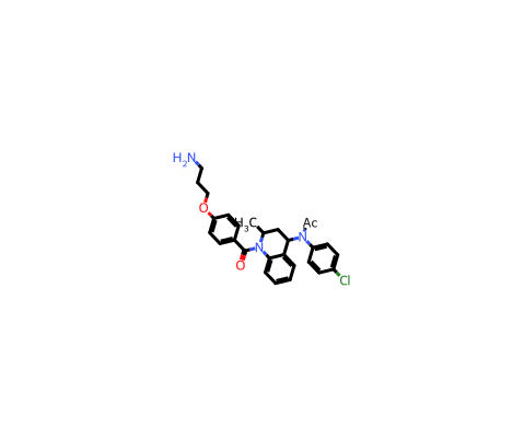 CC(=O)N(c1ccc(Cl)cc1)C1CC(C)N(C(=O)c2ccc(OCCCN)cc2)c2ccccc21